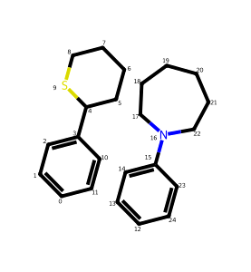 c1ccc(C2CCCCS2)cc1.c1ccc(N2CCCCCC2)cc1